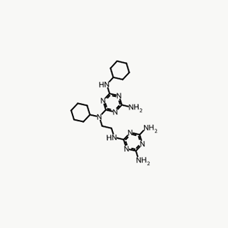 Nc1nc(N)nc(NCCN(c2nc(N)nc(NC3CCCCC3)n2)C2CCCCC2)n1